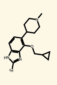 [2H]c1nc2c(OCC3CC3)c(C3CCN(C)CC3)ccc2[nH]1